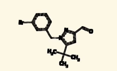 CC(C)(C)c1cc(C=O)nn1Cc1cccc(Br)c1